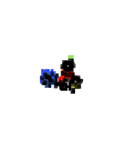 CC(Cn1cnc2c(N)ncnc21)OCP(Oc1ccc(F)cc1)O[C@@H]1CCSSC1